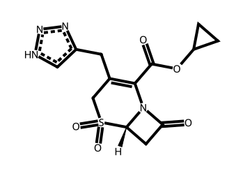 O=C(OC1CC1)C1=C(Cc2c[nH]nn2)CS(=O)(=O)[C@H]2CC(=O)N12